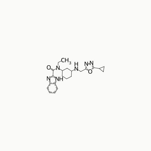 CCN(C(=O)c1nc2ccccc2[nH]1)C1CCCC(NCc2nnc(C3CC3)o2)C1